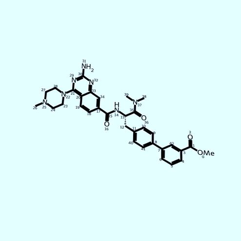 COC(=O)c1cccc(-c2ccc(C[C@H](NC(=O)c3ccc4c(N5CCN(C)CC5)nc(N)nc4c3)C(=O)N(C)C)cc2)c1